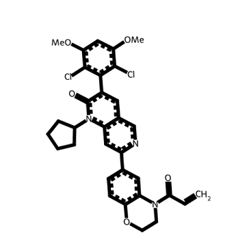 C=CC(=O)N1CCOc2ccc(-c3cc4c(cn3)cc(-c3c(Cl)c(OC)cc(OC)c3Cl)c(=O)n4C3CCCC3)cc21